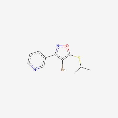 CC(C)Sc1onc(-c2cccnc2)c1Br